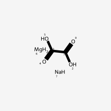 O=C(O)C(=O)O.[MgH2].[NaH]